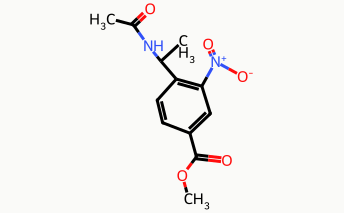 COC(=O)c1ccc(C(C)NC(C)=O)c([N+](=O)[O-])c1